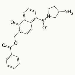 NC1CCN([S+]([O-])c2cccc3c(=O)n(COC(=O)c4ccccc4)ccc23)C1